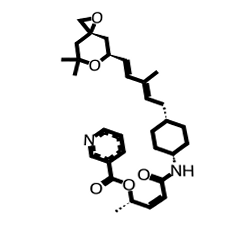 CC(/C=C/[C@@H]1C[C@]2(CO2)CC(C)(C)O1)=C\C[C@H]1CC[C@@H](NC(=O)/C=C\[C@H](C)OC(=O)c2cccnc2)CC1